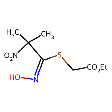 CCOC(=O)CSC(=NO)C(C)(C)[N+](=O)[O-]